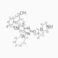 CCc1c(F)ccc2cc(O)cc(-c3ncc4c(N5CCCCCCC5)nc(OCC5(CN6CCNCC6)CC5)nc4c3F)c12